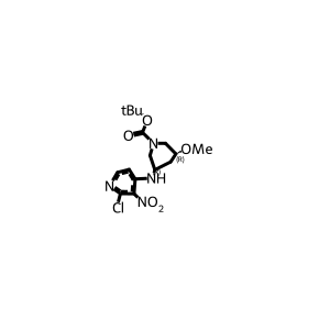 CO[C@@H]1C[C@@H](Nc2ccnc(Cl)c2[N+](=O)[O-])CN(C(=O)OC(C)(C)C)C1